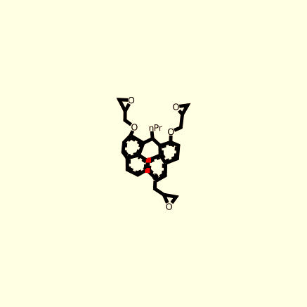 CCCC(c1c(OCC2CO2)ccc2ccccc12)c1c(OCC2CO2)ccc2ccc(OCC3CO3)cc12